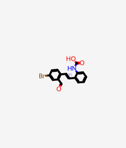 O=Cc1cc(Br)ccc1/C=C/c1ccccc1NC(=O)O